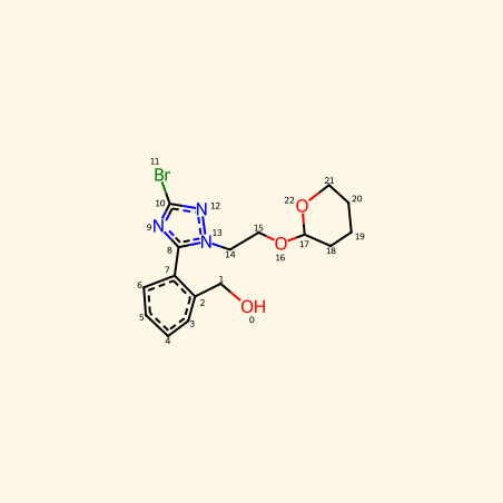 OCc1ccccc1-c1nc(Br)nn1CCOC1CCCCO1